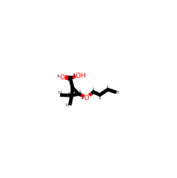 CCCCOC1C(C(=O)O)C1(C)C